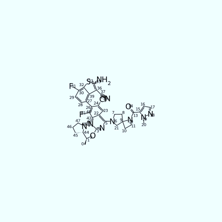 C[C@H](Oc1nc(N2CCC3(CCN3C(=O)c3ccnn3C)C2)c2cc(Cl)c(-c3ccc(F)c4sc(N)c(C#N)c34)c(F)c2n1)[C@@H]1CCCN1C